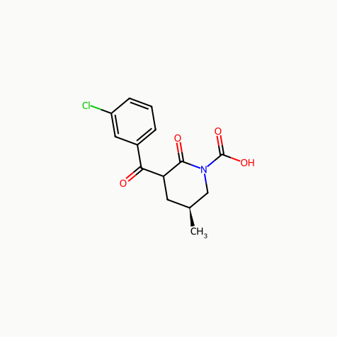 C[C@H]1CC(C(=O)c2cccc(Cl)c2)C(=O)N(C(=O)O)C1